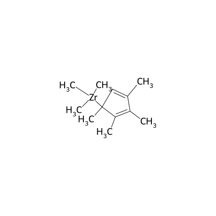 CC1=C[C](C)([Zr]([CH3])([CH3])[CH3])C(C)=C1C